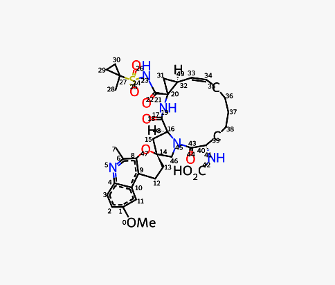 COc1ccc2nc(C)c3c(c2c1)CC[C@]1(C[C@H]2C(=O)N[C@]4(C(=O)NS(=O)(=O)C5(C)CC5)C[C@H]4/C=C\CCCCC[C@H](NC(=O)O)C(=O)N2C1)O3